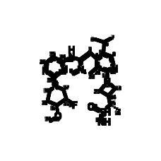 C=N/C(=C\c1c(C(C)C)cnc(N2CC([C@H](C)[SH](=N)=O)C2)c1C)Nc1ccnc(N2CC[C@H](OC)[C@H](F)C2)n1